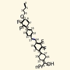 C=CCCOc1ccc(-c2ccc(/C=C/c3ccc(C4CCC(C(O)CCC)CC4)c(F)c3F)cc2)c(F)c1F